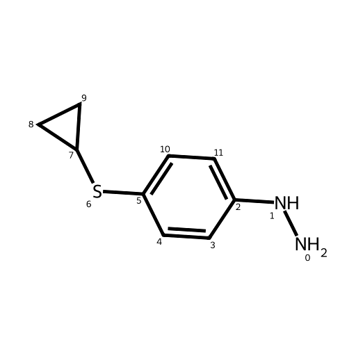 NNc1ccc(SC2CC2)cc1